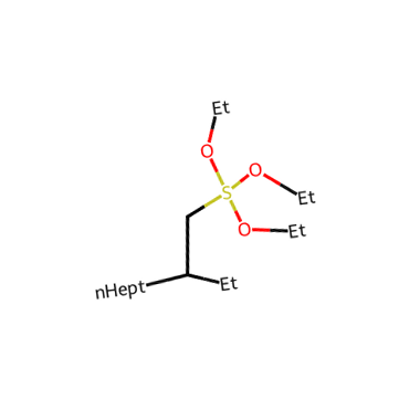 CCCCCCCC(CC)CS(OCC)(OCC)OCC